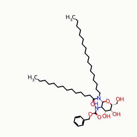 CCCCCCCCCCCCCCCCCCN(C(=O)CCCCCCCCCCCCC)[C@@H]1O[C@H](CO)[C@H](O)[C@H](O)[C@H]1NC(=O)OCc1ccccc1